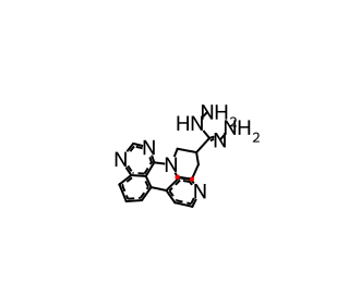 N/N=C(\NN)C1CCCN(c2ncnc3cccc(-c4ccncc4)c23)C1